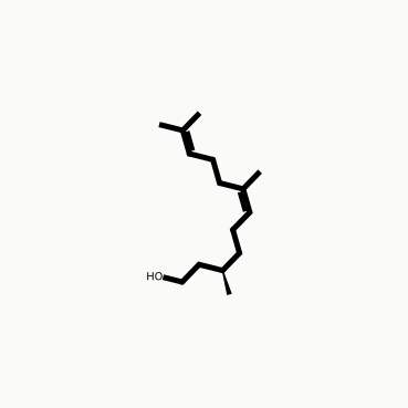 CC(C)=CCC/C(C)=C\CC[C@@H](C)CCO